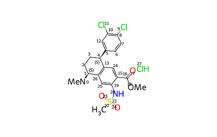 CN[C@H]1CC[C@@H](c2ccc(Cl)c(Cl)c2)c2cc(C(=O)OC)c(NS(C)(=O)=O)cc21.Cl